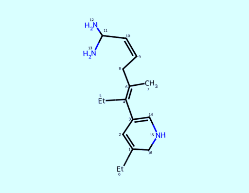 CCC1=CC(/C(CC)=C(\C)C/C=C\C(N)N)=CNC1